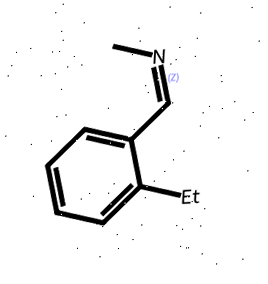 CCc1ccccc1/C=N\C